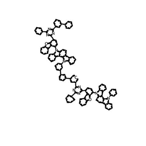 c1ccc(-c2cccc(-c3nc(-c4ccccc4)nc(-c4ccc(-n5c6ccccc6c6c5ccc5c7ccccc7n(-c7cccc(-c8cccc(-c9cccc(-c%10nc(-c%11ccccc%11)nc(-c%11ccc(-n%12c%13ccccc%13c%13c%12ccc%12c%14ccccc%14n(-c%14ccccc%14)c%12%13)c%12oc%13ccccc%13c%11%12)n%10)c9)c8)c7)c56)c5c4oc4ccccc45)n3)c2)cc1